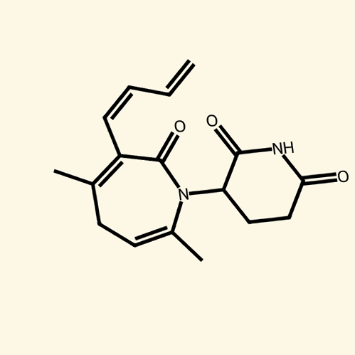 C=C/C=C\C1=C(C)CC=C(C)N(C2CCC(=O)NC2=O)C1=O